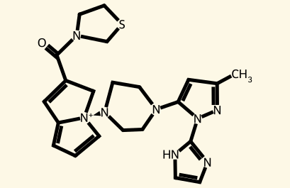 Cc1cc(N2CCN([N@@+]34C=CC=C3C=C(C(=O)N3CCSC3)C4)CC2)n(-c2ncc[nH]2)n1